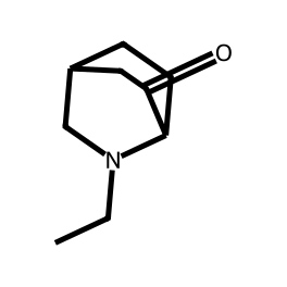 CCN1CC2CCC1C(=O)C2